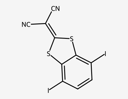 N#CC(C#N)=C1Sc2c(I)ccc(I)c2S1